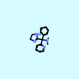 CN(C)C(C1=NCCN1)(c1ccccc1)c1ccccn1